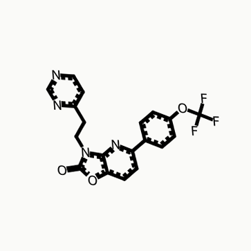 O=c1oc2ccc(-c3ccc(OC(F)(F)F)cc3)nc2n1CCc1ccncn1